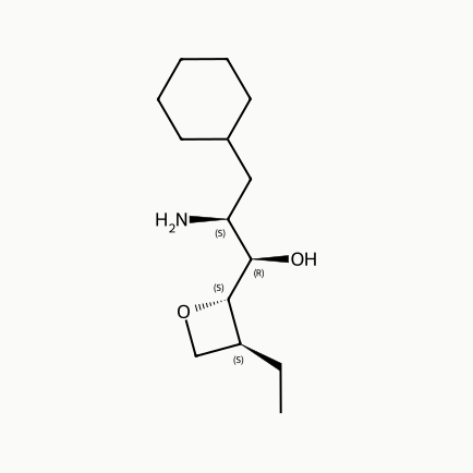 CC[C@H]1CO[C@@H]1[C@H](O)[C@@H](N)CC1CCCCC1